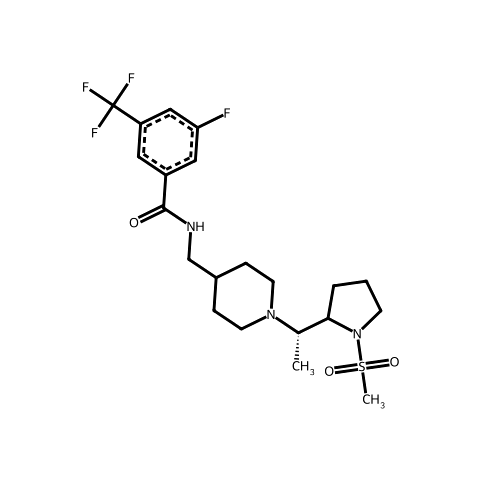 C[C@@H](C1CCCN1S(C)(=O)=O)N1CCC(CNC(=O)c2cc(F)cc(C(F)(F)F)c2)CC1